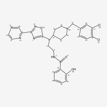 O=C(NCCC(c1nc(-c2cnccn2)no1)C1CCN(Cc2ccc(Cl)c(Cl)c2)CC1)c1ccccc1O